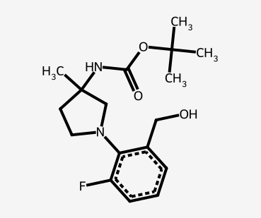 CC1(NC(=O)OC(C)(C)C)CCN(c2c(F)cccc2CO)C1